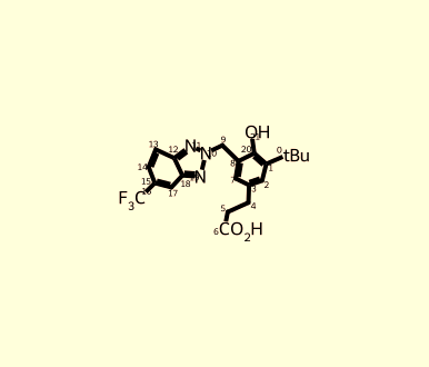 CC(C)(C)c1cc(CCC(=O)O)cc(Cn2nc3ccc(C(F)(F)F)cc3n2)c1O